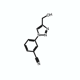 N#Cc1cccc(-n2cc(CO)nn2)c1